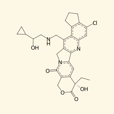 CC[C@@]1(O)C(=O)OCc2c1cc1n(c2=O)Cc2c-1nc1cc(Cl)c3c(c1c2CNCC(O)C1CC1)CCC3